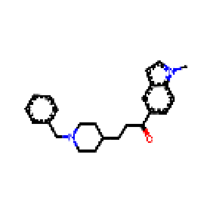 Cn1ccc2cc(C(=O)CCC3CCN(Cc4ccccc4)CC3)ccc21